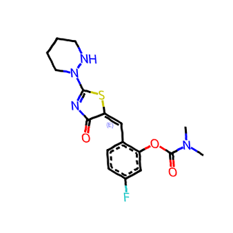 CN(C)C(=O)Oc1cc(F)ccc1/C=C1/SC(N2CCCCN2)=NC1=O